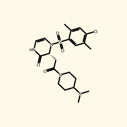 Cc1cc(S(=O)(=O)N2C=CNC(=O)[C@H]2CC(=O)N2CCC(N(C)C)CC2)c(C)cc1Cl